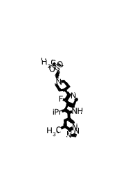 Cc1cc(-c2[nH]c3cnc(C4CCN(CCS(C)(=O)=O)CC4)c(F)c3c2C(C)C)cn2ncnc12